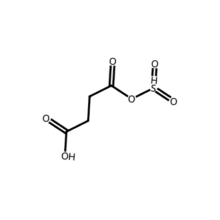 O=C(O)CCC(=O)O[SH](=O)=O